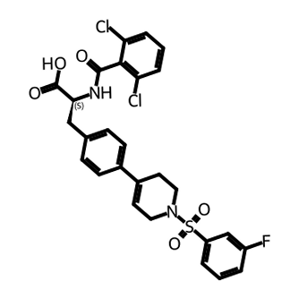 O=C(N[C@@H](Cc1ccc(C2=CCN(S(=O)(=O)c3cccc(F)c3)CC2)cc1)C(=O)O)c1c(Cl)cccc1Cl